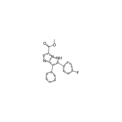 COC(=O)c1cnc2c(-c3ccccc3)c(-c3ccc(F)cc3)[nH]n12